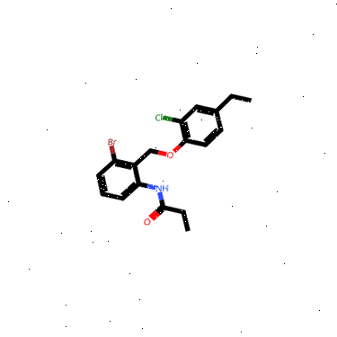 CCC(=O)Nc1cccc(Br)c1COc1ccc(CC)cc1Cl